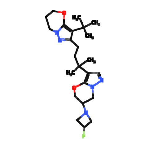 CC(C)(C)c1c(CCC(C)(C)c2cnn3c2OCC(N2CC(F)C2)C3)nn2c1OCCC2